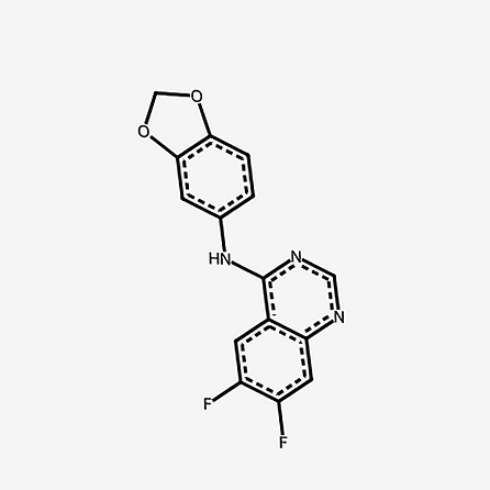 Fc1cc2ncnc(Nc3ccc4c(c3)OCO4)c2cc1F